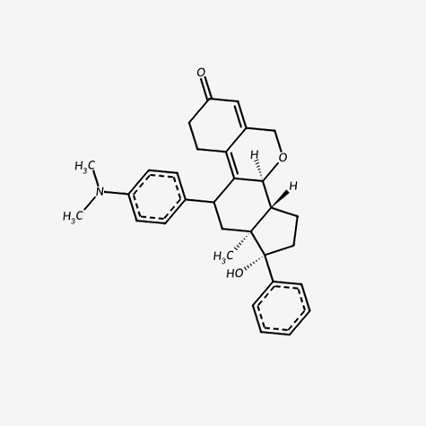 CN(C)c1ccc(C2C[C@@]3(C)[C@@H](CC[C@@]3(O)c3ccccc3)[C@@H]3OCC4=CC(=O)CCC4=C23)cc1